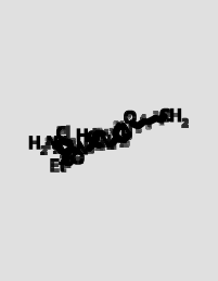 C=CCCCCC(=O)N1CCC(CN2CCOC(CNC(=O)c3cc(Cl)c(N)cc3OCC)C2)CC1